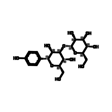 OC[C@H]1O[C@H](O[C@@H]2[C@H](O)[C@@H](c3ccc(O)cc3)O[C@H](CO)[C@H]2O)[C@@H](O)[C@@H](O)[C@@H]1O